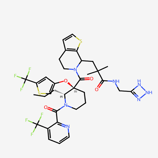 CCC[C@H]1N(C(=O)c2ncccc2C(F)(F)F)CCC[C@@]1(Oc1csc(C(F)(F)F)c1)C(=O)N1CCc2ccsc2C1CC(C)(C)C(=O)NCc1n[nH][nH]1